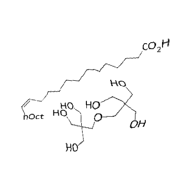 CCCCCCCC/C=C\CCCCCCCCCCCC(=O)O.OCC(CO)(CO)COCC(CO)(CO)CO